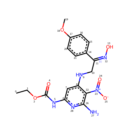 CCOC(=O)Nc1cc(NC/C(=N/O)c2ccc(OC)cc2)c([N+](=O)[O-])c(N)n1